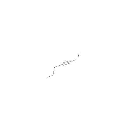 O=C(O)OC#CCCO